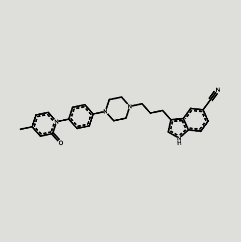 Cc1ccn(-c2ccc(N3CCN(CCCc4c[nH]c5ccc(C#N)cc45)CC3)cc2)c(=O)c1